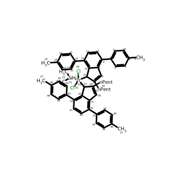 CCCCCC1=Cc2c(-c3ccc(C)cc3)ccc(-c3ccc(C)cc3)c2[CH]1[Zr]([Cl])([Cl])([CH]1C(CCCCC)=Cc2c(-c3ccc(C)cc3)ccc(-c3ccc(C)cc3)c21)[SiH](C)C